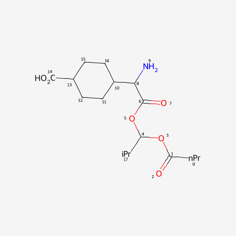 CCCC(=O)OC(OC(=O)C(N)C1CCC(C(=O)O)CC1)C(C)C